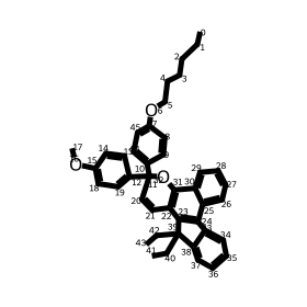 CCCCCCOc1ccc(C2(c3ccc(OC)cc3)C=Cc3c4c(c5ccccc5c3O2)-c2ccccc2C4(CC)CC)cc1